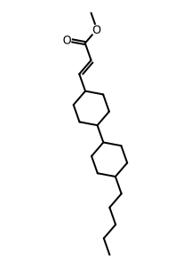 CCCCCC1CCC(C2CCC(C=CC(=O)OC)CC2)CC1